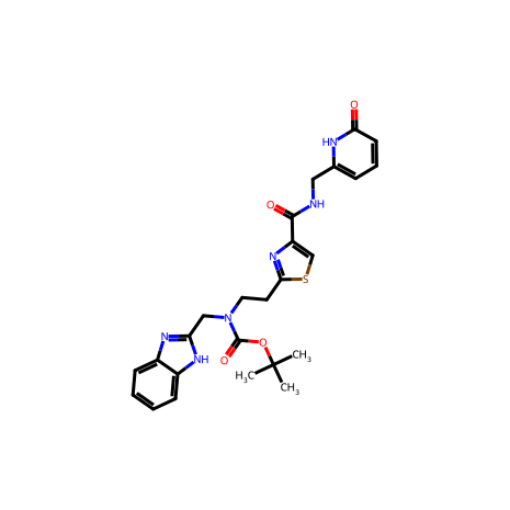 CC(C)(C)OC(=O)N(CCc1nc(C(=O)NCc2cccc(=O)[nH]2)cs1)Cc1nc2ccccc2[nH]1